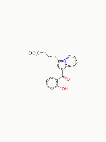 CCOC(=O)CCCc1cc(C(=O)c2ccccc2O)c2ccccn12